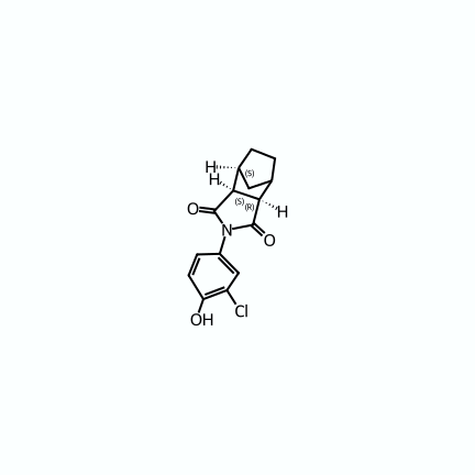 O=C1[C@H]2[C@H]3CCC(C3)[C@H]2C(=O)N1c1ccc(O)c(Cl)c1